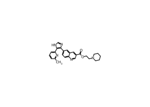 Cc1cccc(-c2[nH]cnc2-c2ccc3ncc(C(=O)OCCN4CCCCC4)cc3c2)n1